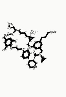 COCCCc1cc(CN(C(=O)[C@H]2CNCC[C@@H]2c2ccc(OCCOc3c(Cl)cc(C)cc3Cl)cc2)C2CC2)cc(OC[C@@H]2C[C@@]2(CCCC[C@H](CO[N+](=O)[O-])O[N+](=O)[O-])C(=O)O)c1